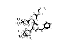 CCNC(=O)C[C@@H](NC(=O)OC(C)(C)C)C(=O)N[C@@H](CCCc1ccccc1)B1OC(C)(C)C(C)(C)O1